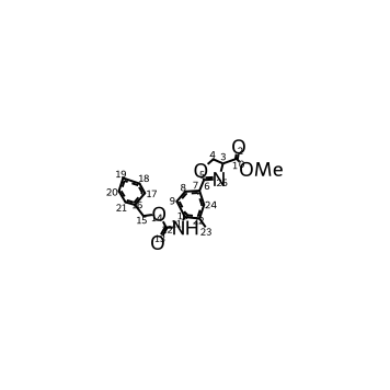 COC(=O)C1COC(c2ccc(NC(=O)OCc3ccccc3)c(C)c2)=N1